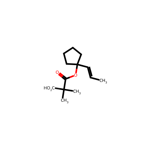 C/C=C/C1(OC(=O)C(C)(C)C(=O)O)CCCC1